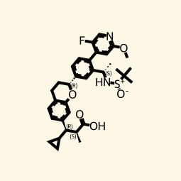 COc1cc(-c2ccc([C@H]3CCc4ccc([C@H](C5CC5)[C@H](C)C(=O)O)cc4O3)cc2[C@H](C)N[S+]([O-])C(C)(C)C)c(F)cn1